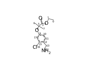 CCOC(=O)C(C)(C)Oc1ccc(CN)c(Cl)c1